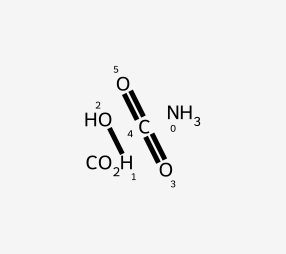 N.O=C(O)O.O=C=O